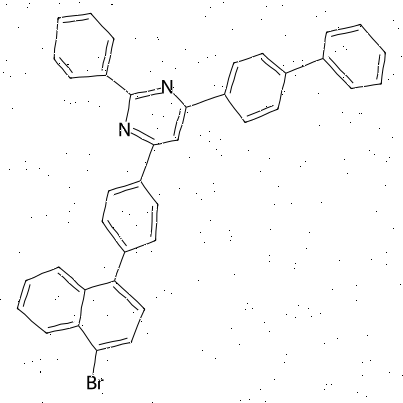 Brc1ccc(-c2ccc(-c3cc(-c4ccc(-c5ccccc5)cc4)nc(-c4ccccc4)n3)cc2)c2ccccc12